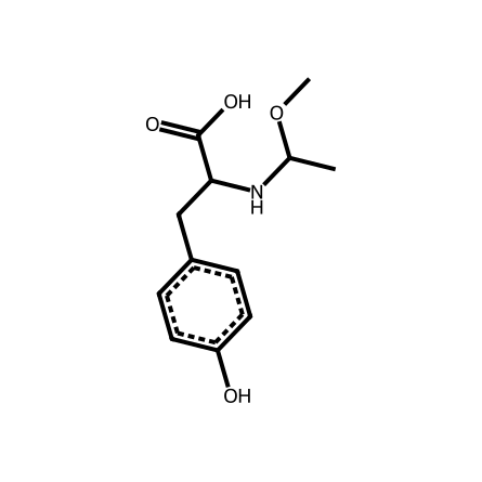 COC(C)NC(Cc1ccc(O)cc1)C(=O)O